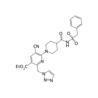 CCOC(=O)c1cc(C#N)c(N2CCC(C(=O)NS(=O)(=O)Cc3ccccc3)CC2)nc1Cn1ccnn1